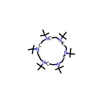 CC(C)(C)N1CCN(C(C)(C)C)CCN(C(C)(C)C)CCN(C(C)(C)C)CCN(C(C)(C)C)CCN(C(C)(C)C)CC1